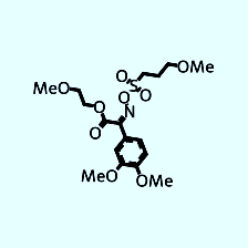 COCCCS(=O)(=O)O/N=C(\C(=O)OCCOC)c1ccc(OC)c(OC)c1